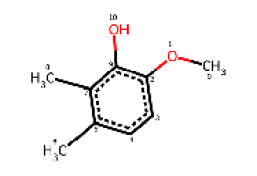 COc1ccc(C)c(C)c1O